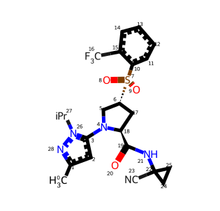 Cc1cc(N2C[C@H](S(=O)(=O)c3ccccc3C(F)(F)F)C[C@H]2C(=O)NC2(C#N)CC2)n(C(C)C)n1